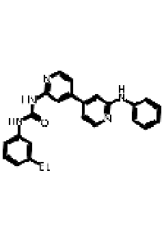 CCc1cccc(NC(=O)Nc2cc(-c3ccnc(Nc4ccccc4)c3)ccn2)c1